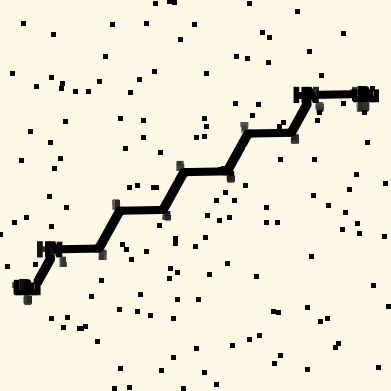 CC(C)(C)NCCCCCCCNC(C)(C)C